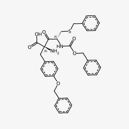 N[C@@](Cc1ccc(OCc2ccccc2)cc1)(C(=O)O)C(=O)[C@H](CSCc1ccccc1)NC(=O)OCc1ccccc1